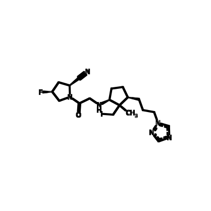 CC1(CI)[C@H](CCCn2cncn2)CC[C@@H]1NCC(=O)N1C[C@@H](F)C[C@H]1C#N